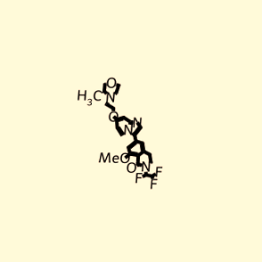 COc1cc(-c2cnc3cc(OCCN4CCOC[C@H]4C)ccn23)cc2c1C(=O)N(C(F)C(F)F)CC2